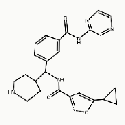 O=C(Nc1cnccn1)c1cccc(C(NC(=O)c2cc(C3CC3)on2)C2CCNCC2)c1